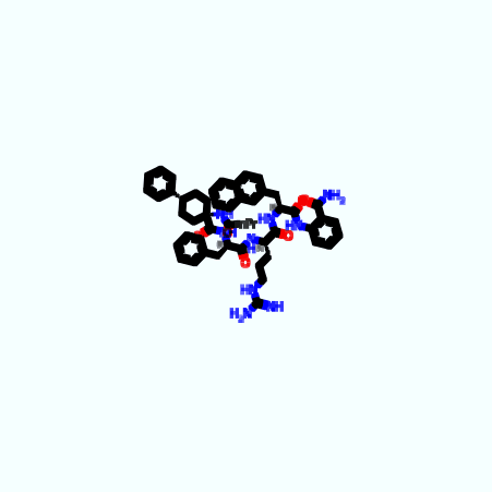 CCCC(=O)N[C@]1(C(=O)N[C@H](Cc2ccccc2)C(=O)N[C@@H](CCCNC(=N)N)C(=O)N[C@@H](Cc2ccc3ccccc3c2)C(=O)Nc2ccccc2C(N)=O)CC[C@H](c2ccccc2)CC1